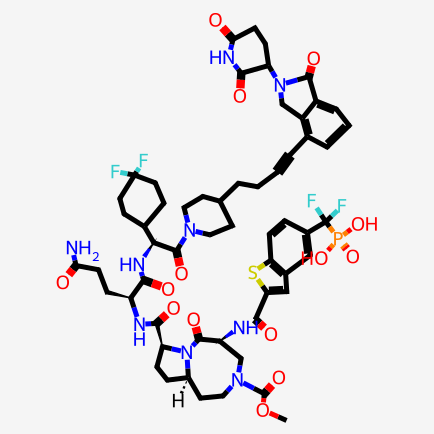 COC(=O)N1CC[C@H]2CC[C@@H](C(=O)N[C@@H](CCC(N)=O)C(=O)N[C@H](C(=O)N3CCC(CCC#Cc4cccc5c4CN(C4CCC(=O)NC4=O)C5=O)CC3)C3CCC(F)(F)CC3)N2C(=O)[C@@H](NC(=O)c2cc3cc(C(F)(F)P(=O)(O)O)ccc3s2)C1